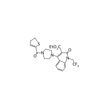 CCOC(=O)c1c(N2CCN(C(=O)C3=CCCS3)CC2)c2ccccc2n(CC(F)(F)F)c1=O